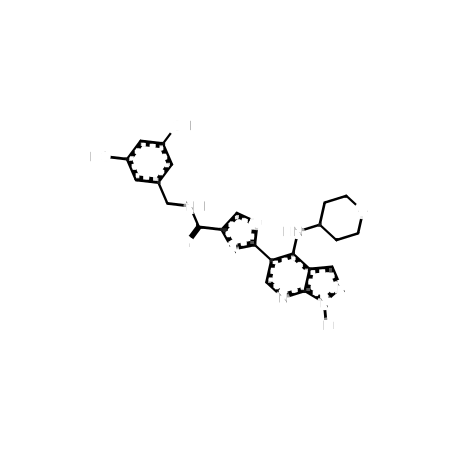 CCn1ncc2c(NC3CCOCC3)c(-c3nc(C(=O)NCc4cc(C)cc(C)c4)co3)cnc21